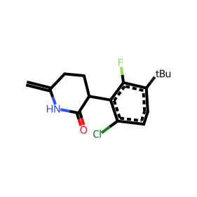 C=C1CCC(c2c(Cl)ccc(C(C)(C)C)c2F)C(=O)N1